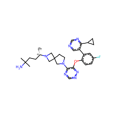 CC(C)[C@@H](CCC(C)(C)N)N1CC2(CCN(c3ncnnc3Oc3ccc(F)cc3-c3cncnc3C3CC3)C2)C1